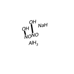 O=NO.O=NO.[AlH3].[NaH]